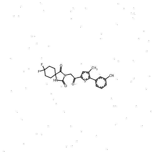 Cc1cc(C(=O)CN2C(=O)NC3(CCC(F)(F)CC3)C2=O)sc1-c1cccc(C#N)c1